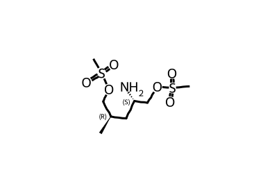 C[C@@H](COS(C)(=O)=O)C[C@H](N)COS(C)(=O)=O